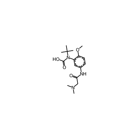 COc1ccc(NC(=O)CN(C)C)cc1N(C(=O)O)C(C)(C)C